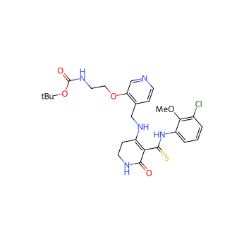 COc1c(Cl)cccc1NC(=S)C1=C(NCc2ccncc2OCCNC(=O)OC(C)(C)C)CCNC1=O